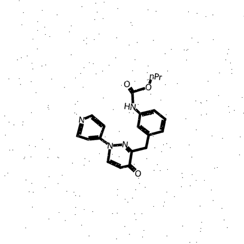 CCCOC(=O)Nc1cccc(Cc2nn(-c3ccncc3)ccc2=O)c1